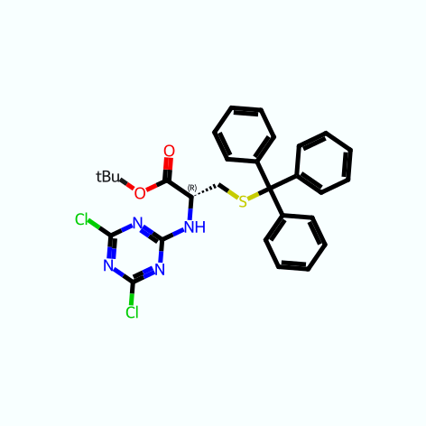 CC(C)(C)OC(=O)[C@H](CSC(c1ccccc1)(c1ccccc1)c1ccccc1)Nc1nc(Cl)nc(Cl)n1